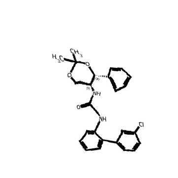 CC1(C)OC[C@H](NC(=O)Nc2ccccc2-c2cccc(Cl)c2)[C@@H](c2ccccc2)O1